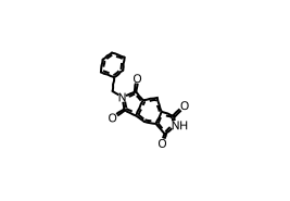 O=c1[nH]c(=O)c2cc3c(=O)n(Cc4ccccc4)c(=O)c3cc12